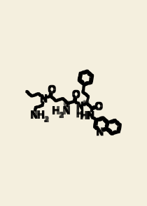 CCCN(CCN)C(=O)CC[C@H](N)C(=O)N[C@@H](CCc1ccccc1)C(=O)Nc1cnc2ccccc2c1